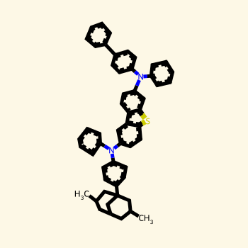 CC1CC2CC(C)CC(c3ccc(N(c4ccccc4)c4ccc5sc6cc(N(c7ccccc7)c7ccc(-c8ccccc8)cc7)ccc6c5c4)cc3)(C1)C2